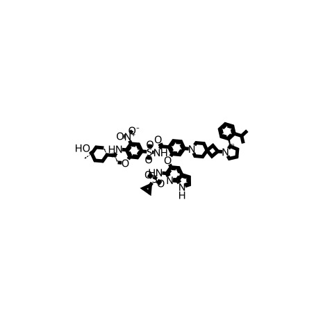 CC(C)c1ccccc1[C@H]1CCCN1C1CC2(CCN(c3ccc(C(=O)NS(=O)(=O)c4cc5c(c([N+](=O)[O-])c4)N[C@@H]([C@H]4CC[C@](C)(O)CC4)CO5)c(Oc4cc5cc[nH]c5nc4NS(=O)(=O)C4CC4)c3)CC2)C1